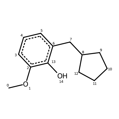 COc1cccc(CC2CCCC2)c1O